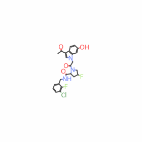 CC(=O)c1cn(CC(=O)N2CC(F)CC2C(=O)NCc2cccc(Cl)c2F)c2cc(O)ccc12